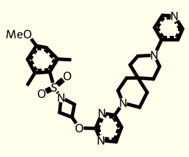 COc1cc(C)c(S(=O)(=O)N2CC(Oc3nccc(N4CCC5(CCN(c6ccncc6)CC5)CC4)n3)C2)c(C)c1